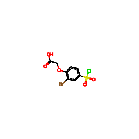 O=C(O)COc1ccc(S(=O)(=O)Cl)cc1Br